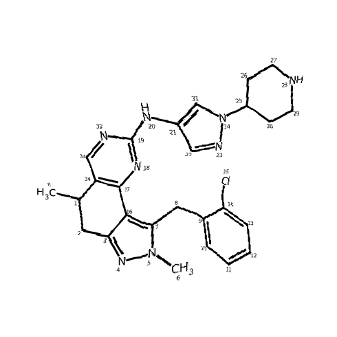 CC1Cc2nn(C)c(Cc3ccccc3Cl)c2-c2nc(Nc3cnn(C4CCNCC4)c3)ncc21